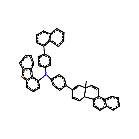 CC12C=Cc3c(ccc4ccccc34)C1C=CC(c1ccc(N(c3ccc(-c4cccc5ccccc45)cc3)c3cccc4sc5ccccc5c34)cc1)=C2